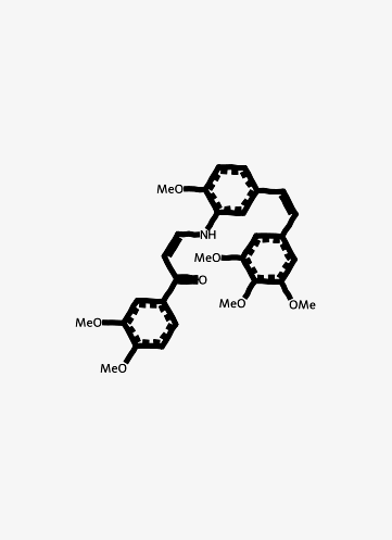 COc1ccc(/C=C\c2cc(OC)c(OC)c(OC)c2)cc1N/C=C\C(=O)c1ccc(OC)c(OC)c1